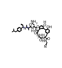 C=C/C(=N\C(C)=C(/C)C(=O)N[C@@H](CCN)C(=O)N(C)[C@@H]1C(=O)N[C@@H](C)C(=O)N[C@H](C(=O)NCC#N)Cc2ccc(O)c(c2)-c2cc1ccc2O)c1ccc(CC(C)C)cc1